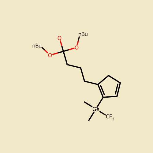 CCCCOC([O])(CCCC1=[C]([Ge]([CH3])([CH3])[C](F)(F)F)C=CC1)OCCCC